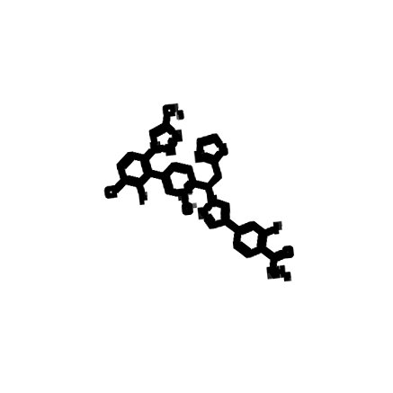 NC(=O)c1ccc(-c2cnn([C@H](Cc3nccs3)c3ccc(-c4c(-n5cc(C(F)(F)F)nn5)ccc(Cl)c4F)c[n+]3[O-])c2)cc1F